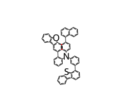 c1cc(-c2cccc3c2sc2ccccc23)cc(N(c2ccc(-c3cccc4ccccc34)cc2)c2ccccc2-c2ccc3oc4ccccc4c3c2)c1